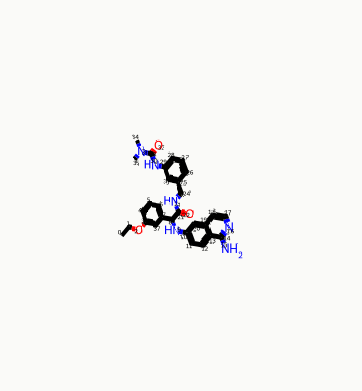 CCOc1cccc(C(Nc2ccc3c(N)nccc3c2)C(=O)NCc2cccc(NC(=O)N(C)C)c2)c1